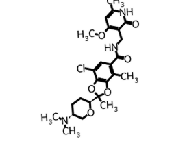 COc1cc(C)[nH]c(=O)c1CNC(=O)c1cc(Cl)c2c(c1C)OC(C)([C@@H]1CC[C@@H](N(C)C)CO1)O2